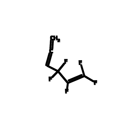 C=C=CC(F)(F)C(F)=C(F)F